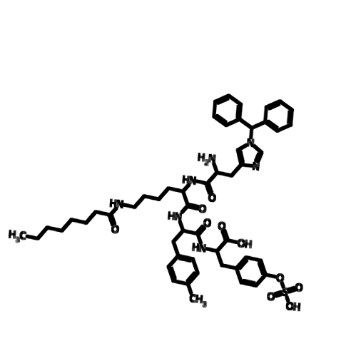 CCCCCCCC(=O)NCCCCC(NC(=O)C(N)Cc1cn(C(c2ccccc2)c2ccccc2)cn1)C(=O)NC(Cc1ccc(C)cc1)C(=O)NC(Cc1ccc(OS(=O)(=O)O)cc1)C(=O)O